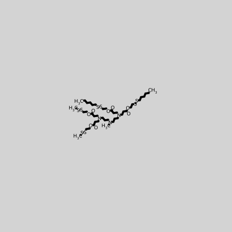 CCCCCCSSCCOC(=O)CCN(CCCN(C)CCCN(CCC(=O)OCCSSC)CCC(=O)OCCSSC)CCC(=O)OCCSSCCCCCC